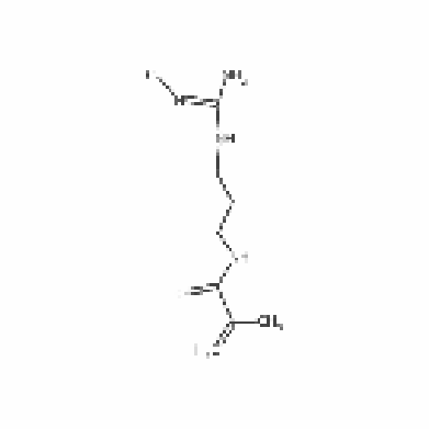 C=C(C)C(=O)NCCCNC(N)=NCl